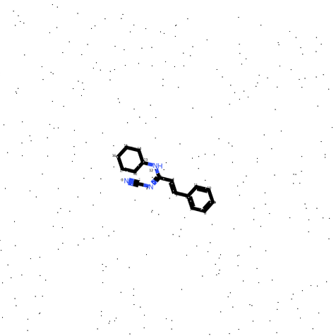 N#CN=C(C=Cc1ccccc1)NC1CCCCC1